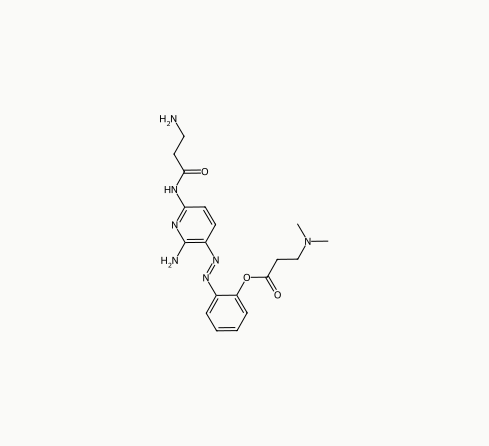 CN(C)CCC(=O)Oc1ccccc1/N=N/c1ccc(NC(=O)CCN)nc1N